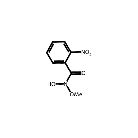 CON(O)C(=O)c1ccccc1[N+](=O)[O-]